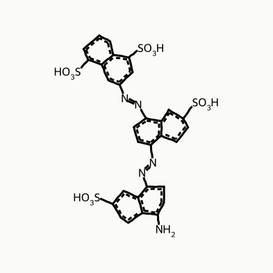 Nc1ccc(/N=N/c2ccc(/N=N/c3cc(S(=O)(=O)O)c4cccc(S(=O)(=O)O)c4c3)c3cc(S(=O)(=O)O)ccc23)c2cc(S(=O)(=O)O)ccc12